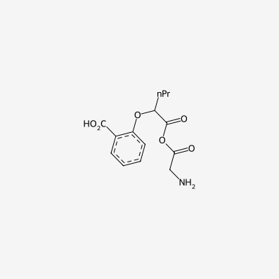 CCCC(Oc1ccccc1C(=O)O)C(=O)OC(=O)CN